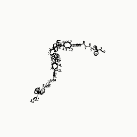 C=CC(=O)OCCCCC#Cc1ccc(C(F)(F)Oc2cccc(OC(F)(F)c3ccc(C#CCCCCOC(=O)C=C)cc3)c2)cc1